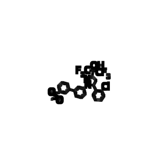 CS(=O)(=O)c1cccc(-c2cccc(N3N=C(C(O)(C(F)(F)F)C(F)(F)F)CC3c3ccccc3Cl)c2)c1